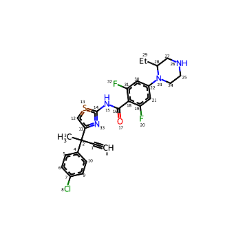 C#CC(C)(c1ccc(Cl)cc1)c1csc(NC(=O)c2c(F)cc(N3CCNCC3CC)cc2F)n1